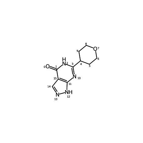 O=c1[nH]c(C2CCOCC2)nc2[nH]ncc12